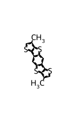 Cc1csc2c1sc1cc3c(cc12)sc1c(C)csc13